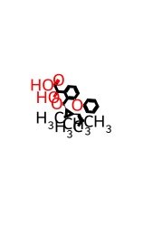 CC(C)=C[C@@H]1[C@@H](C(=O)c2c(Oc3ccccc3)cccc2C(O)C(=O)O)C1(C)C